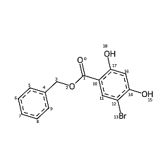 O=C(OCc1ccccc1)c1cc(Br)c(O)cc1O